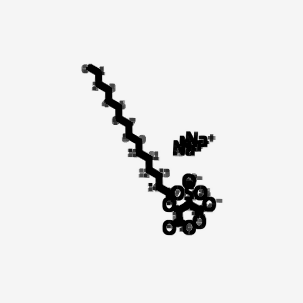 CCCCCCCCCCCCCCCCOC(C(=O)[O-])C(C(=O)[O-])S(=O)(=O)[O-].[Na+].[Na+].[Na+]